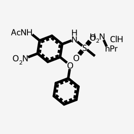 CC(=O)Nc1cc(NS(C)(=O)=O)c(Oc2ccccc2)cc1[N+](=O)[O-].CCCN.Cl